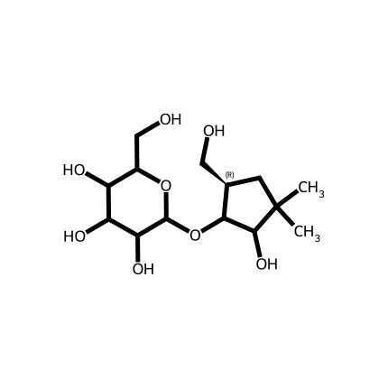 CC1(C)C[C@H](CO)C(OC2OC(CO)C(O)C(O)C2O)C1O